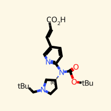 CC(C)(C)CN1CC[C@@H](N(C(=O)OC(C)(C)C)c2ccc(C=CC(=O)O)cn2)C1